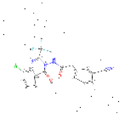 N#Cc1cccc(CC(=O)Nn2c(C(F)(F)F)nc3c(Cl)cccc3c2=O)c1